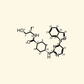 C[C@H](CO)NC(=O)[C@H]1CC[C@H](Nc2nccc(-n3ncc4ccccc43)n2)CC1